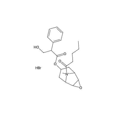 Br.CCCCC(=O)[N+]1(C)C2CC(OC(=O)C(CO)c3ccccc3)CC1C1OC12